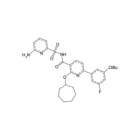 CC(C)COc1cc(F)cc(-c2ccc(C(=O)NS(=O)(=O)c3cccc(N)n3)c(OC3CCCCCC3)n2)c1